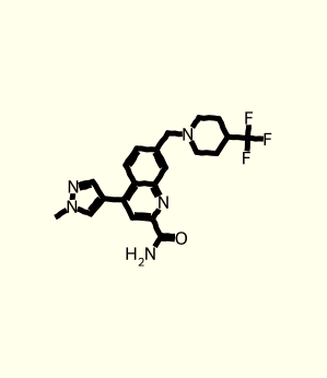 Cn1cc(-c2cc(C(N)=O)nc3cc(CN4CCC(C(F)(F)F)CC4)ccc23)cn1